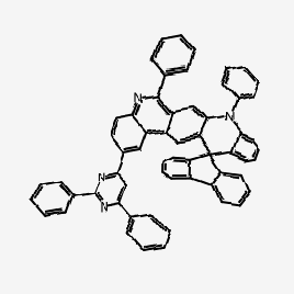 c1ccc(-c2cc(-c3ccc4nc(-c5ccccc5)c5cc6c(cc5c4c3)C3(c4ccccc4-c4ccccc43)c3ccccc3N6c3ccccc3)nc(-c3ccccc3)n2)cc1